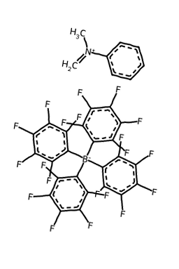 C=[N+](C)c1ccccc1.Fc1c(F)c(F)c([B-](c2c(F)c(F)c(F)c(F)c2F)(c2c(F)c(F)c(F)c(F)c2F)c2c(F)c(F)c(F)c(F)c2F)c(F)c1F